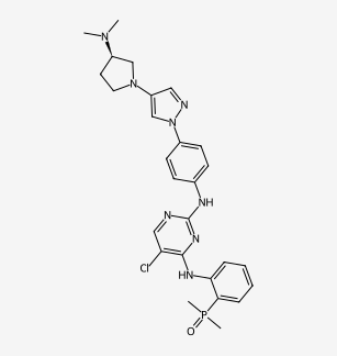 CN(C)[C@@H]1CCN(c2cnn(-c3ccc(Nc4ncc(Cl)c(Nc5ccccc5P(C)(C)=O)n4)cc3)c2)C1